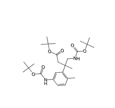 Cc1ccc(NC(=O)OC(C)(C)C)cc1C(C)(CNC(=O)OC(C)(C)C)CC(=O)OC(C)(C)C